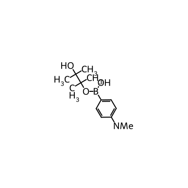 CNc1ccc(B(O)OC(C)(C)C(C)(C)O)cc1